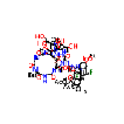 CC(=O)OCC(=O)[C@@]1(OC(C)=O)[C@@H](C)C[C@H]2[C@@H]3C[C@H](F)C4=CC(=O)C=C[C@]4(C)[C@@]3(F)[C@@H](O)C[C@@]21C.CCC(C)[C@@H]1NC(=O)CNC(=O)[C@@H]2Cc3c([nH]c4cc(O)ccc34)[S@+]([O-])C[C@H](NC(=O)CNC1=O)C(=O)N[C@@H](CC(N)=O)C(=O)N1CC(O)C[C@H]1C(=O)N[C@@H](C(C)[C@@H](O)CO)C(=O)N2.CCO